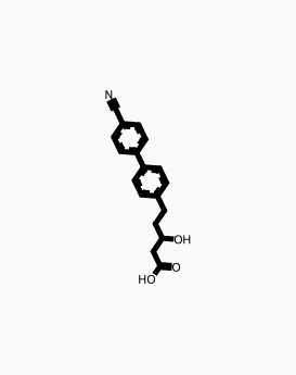 N#Cc1ccc(-c2ccc(CCC(O)CC(=O)O)cc2)cc1